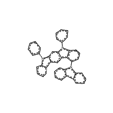 c1ccc(-n2c3ccccc3c3cc4c5c(-n6c7ccccc7c7ccccc76)cccc5n(-c5ccccc5)c4cc32)cc1